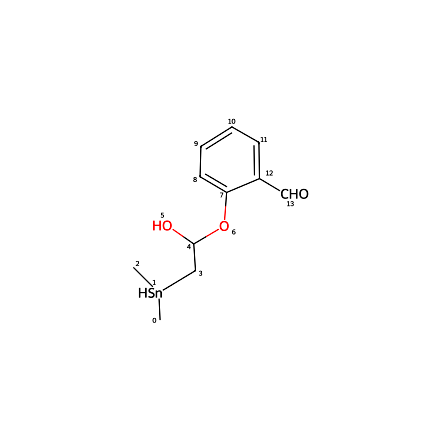 [CH3][SnH]([CH3])[CH2]C(O)Oc1ccccc1C=O